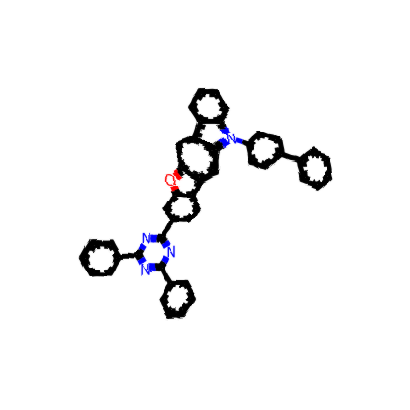 c1ccc(-c2ccc(-n3c4ccccc4c4cc5oc6cc(-c7nc(-c8ccccc8)nc(-c8ccccc8)n7)ccc6c5cc43)cc2)cc1